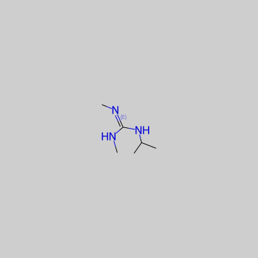 C/N=C(\NC)NC(C)C